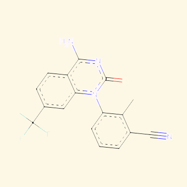 Cc1c(C#N)cccc1-n1c(=O)nc(N)c2ccc(C(F)(F)F)cc21